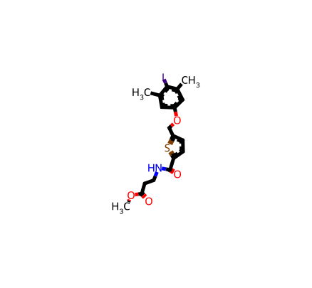 COC(=O)CCNC(=O)c1ccc(COc2cc(C)c(I)c(C)c2)s1